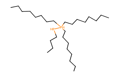 CCCCCCCC[PH](CCCCCCCC)(CCCCCCCC)PCCCC